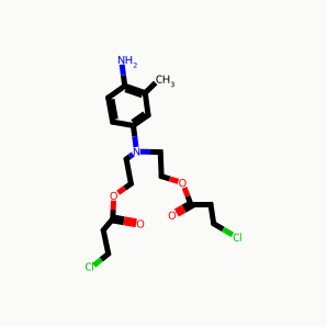 Cc1cc(N(CCOC(=O)CCCl)CCOC(=O)CCCl)ccc1N